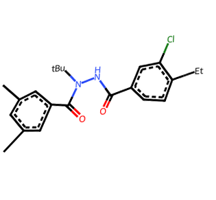 CCc1ccc(C(=O)NN(C(=O)c2cc(C)cc(C)c2)C(C)(C)C)cc1Cl